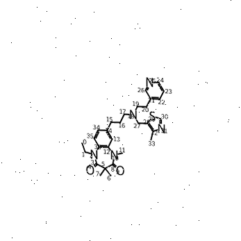 CCN1C(=O)C(C)(C)C(=O)N(C)c2cc(CCCN(CCc3cccnc3)Cc3scnc3C)ccc21